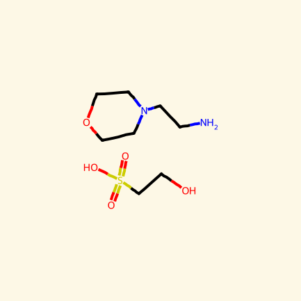 NCCN1CCOCC1.O=S(=O)(O)CCO